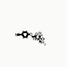 N#Cc1ccc(OCC(=O)NP(N)(N)=O)cc1